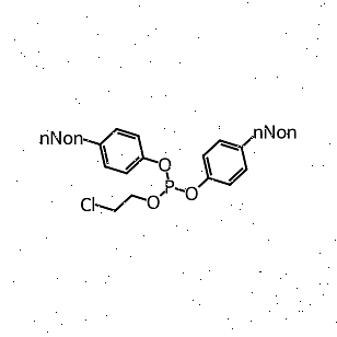 CCCCCCCCCc1ccc(OP(OCCCl)Oc2ccc(CCCCCCCCC)cc2)cc1